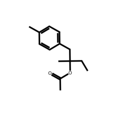 CCC(C)(Cc1ccc(C)cc1)OC(C)=O